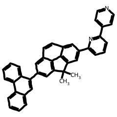 CC1(C)c2cc(-c3cccc(-c4ccncc4)n3)cc3ccc4cc(-c5cc6ccccc6c6ccccc56)cc1c4c23